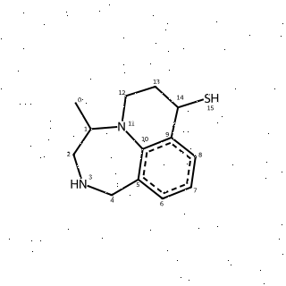 CC1CNCc2cccc3c2N1CCC3S